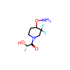 C[C@H](O)C(=O)N1CCC(ON)C(F)(F)C1